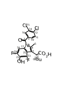 CC[C@@H](C)C(C(=O)O)c1c(C)n(C(=O)c2ccc(Cl)c(Cl)c2)c2cc(F)c(O)c(F)c12